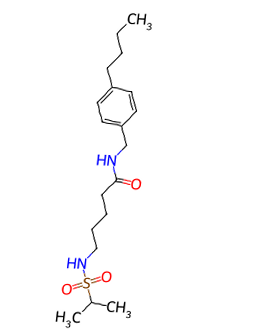 CCCCc1ccc(CNC(=O)CCCCNS(=O)(=O)C(C)C)cc1